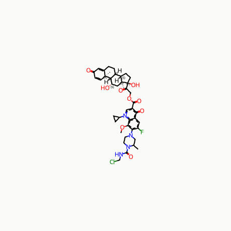 COc1c(N2CCN(C(=O)NCCl)C(C)C2)c(F)cc2c(=O)c(C(=O)OCC(=O)[C@@]3(O)CC[C@H]4[C@@H]5CCC6=CC(=O)C=C[C@]6(C)[C@H]5[C@@H](O)C[C@@]43C)cn(C3CC3)c12